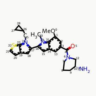 COc1cc(C(=O)N2CCC[C@@H](N)C2)cc2cc(-c3cc4ccsc4n3CC3CC3)n(C)c12